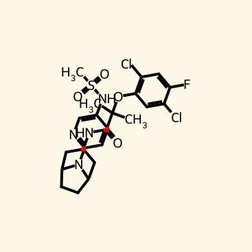 CC(C)(Oc1cc(Cl)c(F)cc1Cl)C(=O)NC1CC2CCC(C1)N2c1ccc(NS(C)(=O)=O)cn1